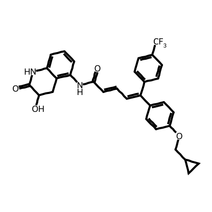 O=C(/C=C/C=C(/c1ccc(OCC2CC2)cc1)c1ccc(C(F)(F)F)cc1)Nc1cccc2c1CC(O)C(=O)N2